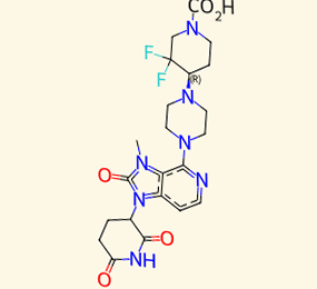 Cn1c(=O)n(C2CCC(=O)NC2=O)c2ccnc(N3CCN([C@@H]4CCN(C(=O)O)CC4(F)F)CC3)c21